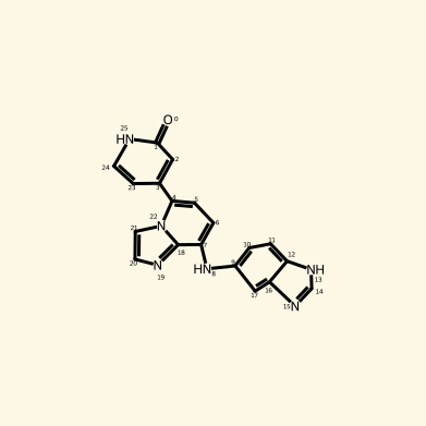 O=c1cc(-c2ccc(Nc3ccc4[nH]cnc4c3)c3nccn23)cc[nH]1